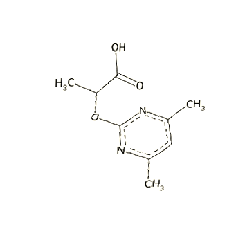 Cc1cc(C)nc(OC(C)C(=O)O)n1